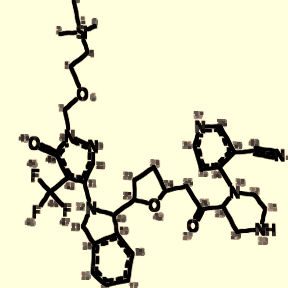 C[Si](C)(C)CCOCn1ncc(N2Cc3ccccc3C2C2CCC(CC(=O)C3CNCCN3c3ccncc3C#N)O2)c(C(F)(F)F)c1=O